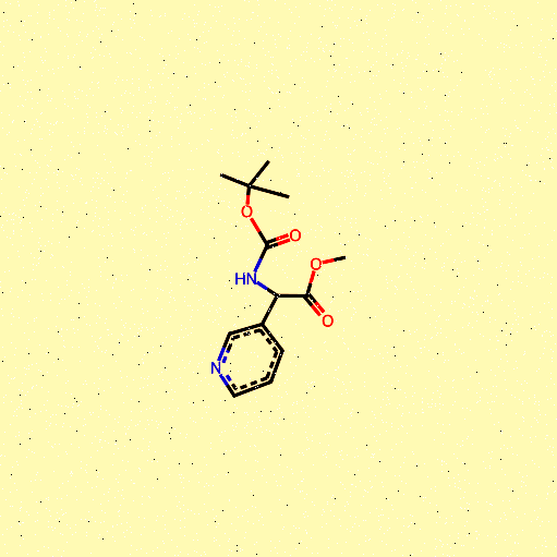 COC(=O)C(NC(=O)OC(C)(C)C)c1cccnc1